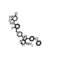 Nc1ncnc2c1c(-c1ccc(Oc3ccccc3)cc1)nn2C1CCN(Cc2cccc(NC3CCC(=O)NC3=O)c2F)CC1